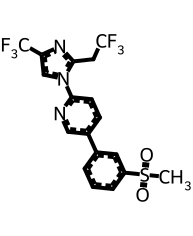 CS(=O)(=O)c1cccc(-c2ccc(-n3cc(C(F)(F)F)nc3CC(F)(F)F)nc2)c1